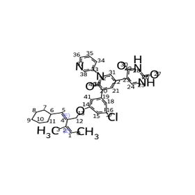 C/C=C(C)\C(=C/C1CCCCC1)COc1cc(Cl)cc(-c2cc(-c3c[nH]c(=O)[nH]c3=O)cn(-c3cccnc3)c2=O)c1